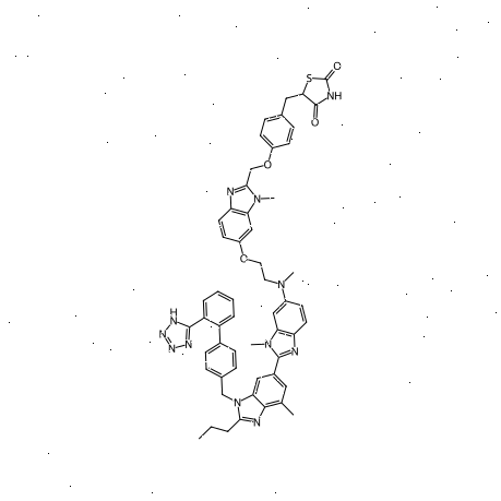 CCCc1nc2c(C)cc(-c3nc4ccc(N(C)CCOc5ccc6nc(COc7ccc(CC8SC(=O)NC8=O)cc7)n(C)c6c5)cc4n3C)cc2n1Cc1ccc(-c2ccccc2-c2nnn[nH]2)cc1